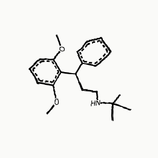 COc1cccc(OC)c1C(CCNC(C)(C)C)c1ccccc1